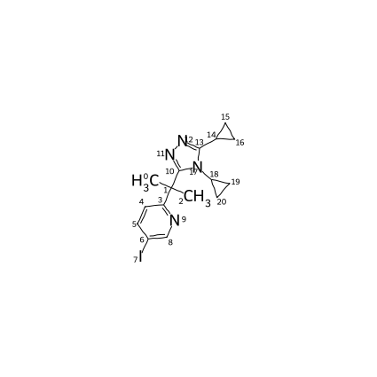 CC(C)(c1ccc(I)cn1)c1nnc(C2CC2)n1C1CC1